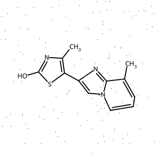 Cc1nc(O)sc1-c1cn2cccc(C)c2n1